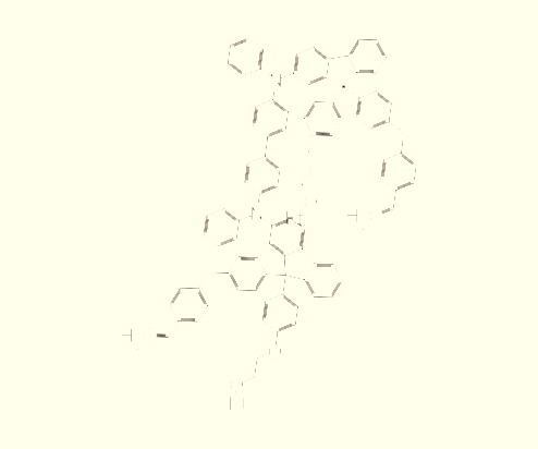 C=Cc1ccc(Sc2ccc(C3(c4ccc(OCCOCC)cc4)c4ccccc4-c4ccc(N(c5ccccc5)c5ccc(-c6ccc(N(c7ccccc7)c7ccc8c(c7)C(c7ccc(OCCOCC)cc7)(c7ccc(Sc9ccc(C=C)cc9)cc7)c7ccccc7-8)cc6)cc5)cc43)cc2)cc1